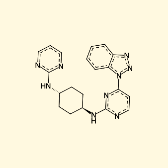 c1cnc(N[C@H]2CC[C@H](Nc3nccc(-n4nnc5ccccc54)n3)CC2)nc1